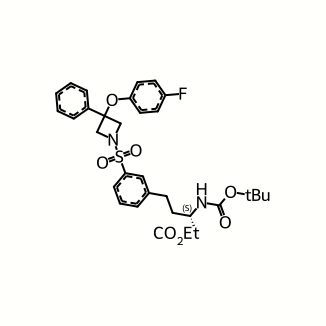 CCOC(=O)[C@H](CCc1cccc(S(=O)(=O)N2CC(Oc3ccc(F)cc3)(c3ccccc3)C2)c1)NC(=O)OC(C)(C)C